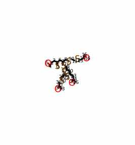 S=C(CC1CO1)CC(CSCCSCC1CO1)SCC(CC(=S)CC1CO1)SCCSCC1CO1